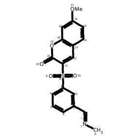 C/N=C/c1cccc(S(=O)(=O)c2cc3ccc(OC)cc3oc2=O)c1